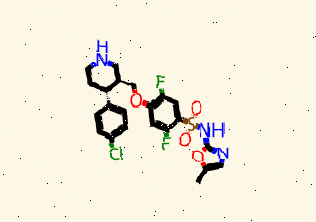 Cc1cnc(NS(=O)(=O)c2cc(F)c(OC[C@@H]3CNCC[C@H]3c3ccc(Cl)cc3)cc2F)o1